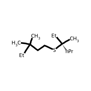 CCC[C@@](C)(CC)SCCC(C)(C)CC